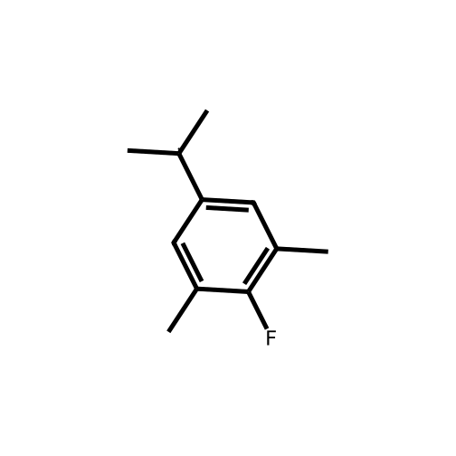 C[C](C)c1cc(C)c(F)c(C)c1